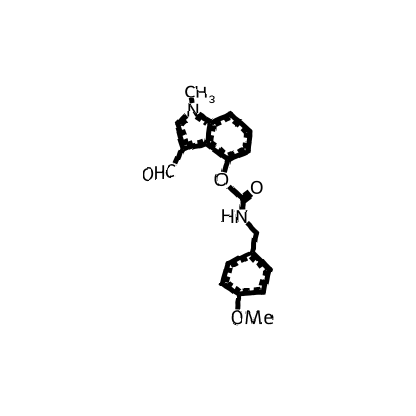 COc1ccc(CNC(=O)Oc2cccc3c2c(C=O)cn3C)cc1